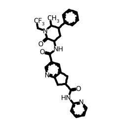 CC1C(c2ccccc2)CC(NC(=O)c2cnc3c(c2)CC(C(=O)Nc2ccccn2)C3)C(=O)N1CC(F)(F)F